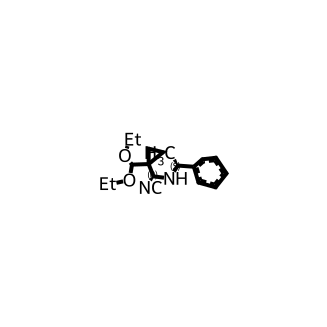 CCOC(OCC)C1([C@H](C#N)N[C@@H](C)c2ccccc2)CC1